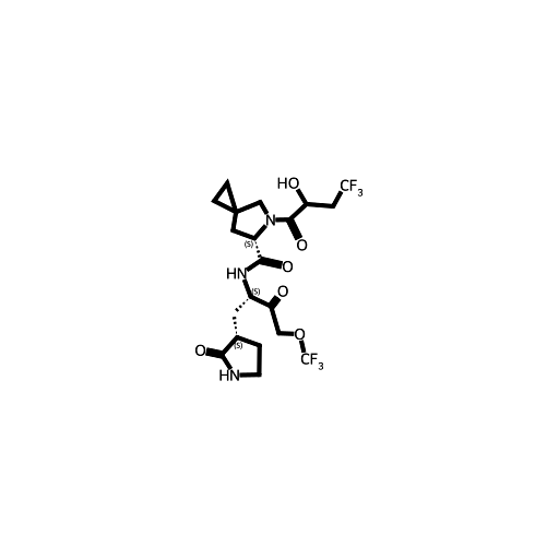 O=C1NCC[C@H]1C[C@H](NC(=O)[C@@H]1CC2(CC2)CN1C(=O)C(O)CC(F)(F)F)C(=O)COC(F)(F)F